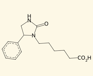 O=C(O)CCCCCN1C(=O)NCC1c1ccccc1